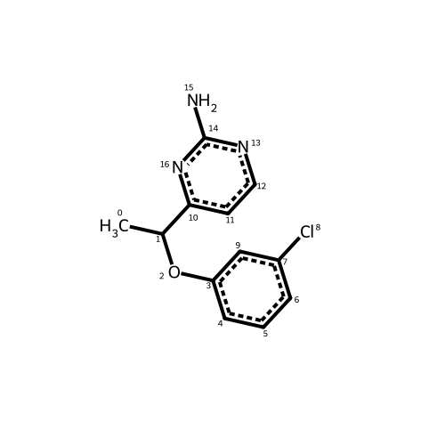 CC(Oc1cccc(Cl)c1)c1ccnc(N)n1